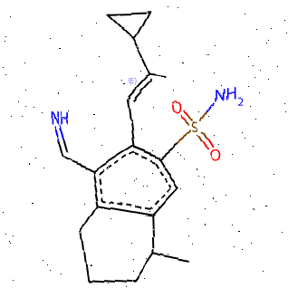 C/C(=C\c1c(S(N)(=O)=O)cc2c(c1C=N)CCCC2C)C1CC1